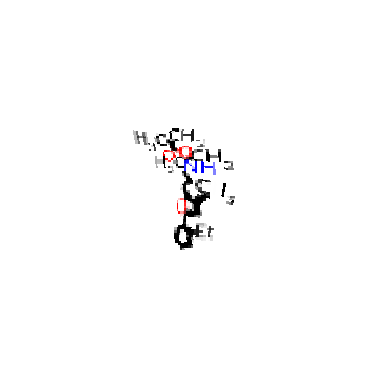 C=C(C)C(=O)OC(C)(C)NCC/C=c1/oc(-c2ccccc2CC)c/c1=C/C